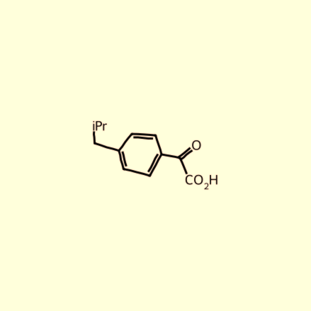 CC(C)Cc1ccc(C(=O)C(=O)O)cc1